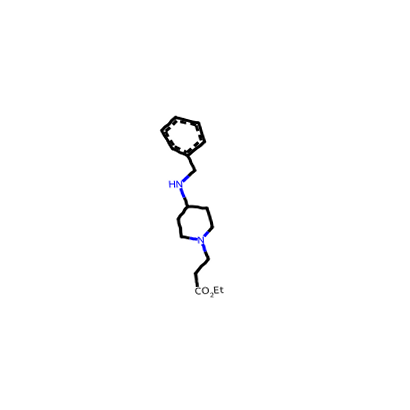 CCOC(=O)CCN1CCC(NCc2ccccc2)CC1